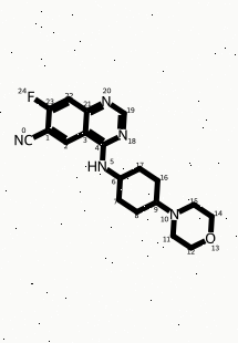 N#Cc1cc2c(NC3CCC(N4CCOCC4)CC3)ncnc2cc1F